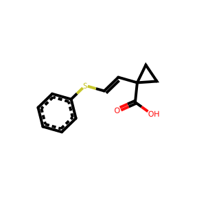 O=C(O)C1(C=CSc2ccccc2)CC1